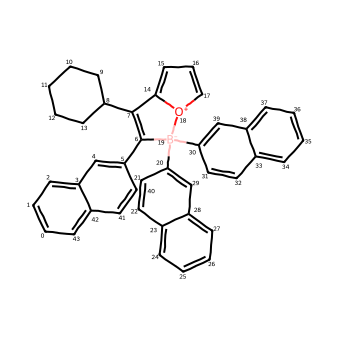 c1ccc2cc(C3=C(C4CCCCC4)c4ccc[o+]4[B-]3(c3ccc4ccccc4c3)c3ccc4ccccc4c3)ccc2c1